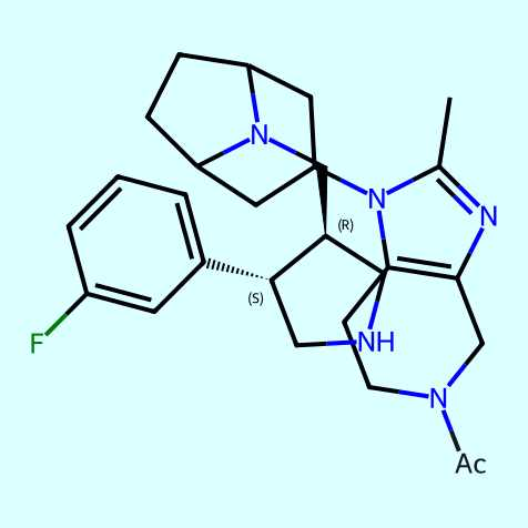 CC(=O)N1CCc2c(nc(C)n2C2CC3CCC(C2)N3C[C@H]2CNC[C@@H]2c2cccc(F)c2)C1